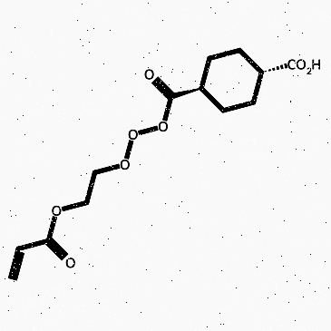 C=CC(=O)OCCOOOC(=O)[C@H]1CC[C@H](C(=O)O)CC1